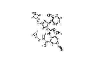 Cc1cc(C#N)cc(C(=O)NCC2CC2)c1NC(=O)c1cc(OC2CSC2)nn1-c1ncccc1Cl